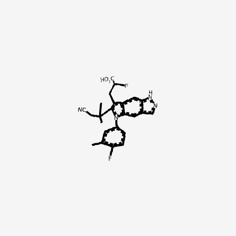 Cc1cc(-n2c(C(C)(C)CC#N)c(C[C@H](F)C(=O)O)c3cc4[nH]ncc4cc32)ccc1F